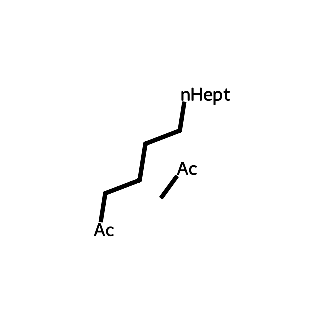 CC(C)=O.CCCCCCCCCCCC(C)=O